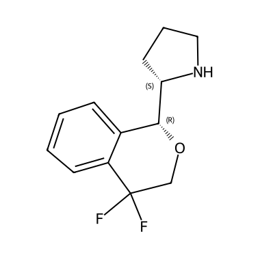 FC1(F)CO[C@@H]([C@@H]2CCCN2)c2ccccc21